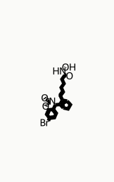 O=C(CCCC=CC1C2CCC(C2)C1C(N=S(=O)=O)c1ccc(Br)cc1)NO